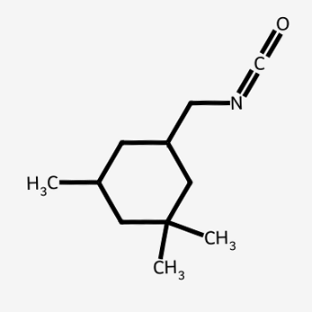 CC1C[C](CN=C=O)CC(C)(C)C1